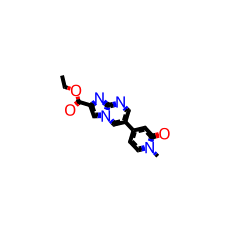 CCOC(=O)c1cn2cc(-c3ccn(C)c(=O)c3)cnc2n1